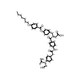 CCCCCCCOc1ccc(C(=O)Oc2ccc(CN(CC(=O)O)C(=O)c3ccc(NC(=O)Cc4ccc(N(N=N)C(C)=N)cc4)cc3)cc2)cc1